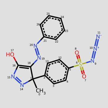 CC1(c2ccc(S(=O)(=O)N=[N+]=[N-])cc2)N=NC(O)=C1N=Nc1ccccc1